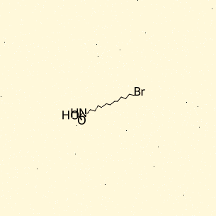 O=C(O)NCCCCCCCCCCCCCBr